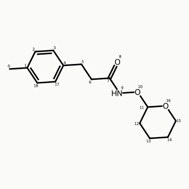 Cc1ccc(CCC(=O)NOC2CCCCO2)cc1